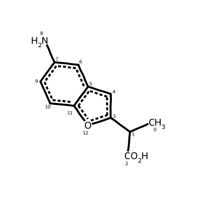 CC(C(=O)O)c1cc2cc(N)ccc2o1